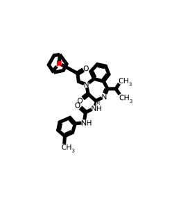 Cc1cccc(NC(=O)N[C@@H]2N=C(C(C)C)c3ccccc3N(CC(=O)N3CC4CCC(CC4)C3)C2=O)c1